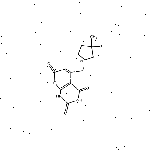 CC1(F)CC[C@@H](Cc2cc(=O)oc3[nH]c(=O)[nH]c(=O)c23)C1